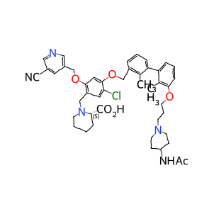 CC(=O)NC1CCN(CCCOc2cccc(-c3cccc(COc4cc(OCc5cncc(C#N)c5)c(CN5CCCC[C@H]5C(=O)O)cc4Cl)c3C)c2C)CC1